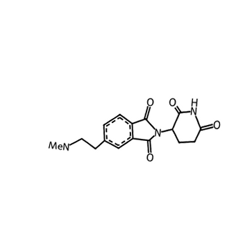 CNCCc1ccc2c(c1)C(=O)N(C1CCC(=O)NC1=O)C2=O